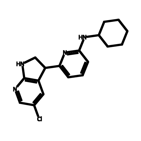 Clc1cnc2c(c1)C(c1cccc(NC3CCCCC3)n1)CN2